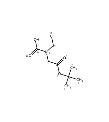 CC(C)(C)OC(=O)CN([CH]Cl)C(=O)O